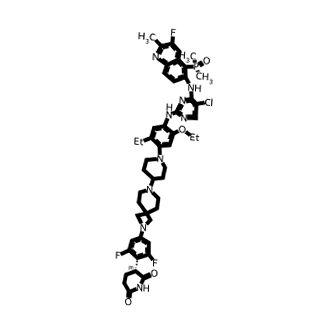 CCOc1cc(N2CCC(N3CCC4(CC3)CN(c3cc(F)c([C@H]5CCC(=O)NC5=O)c(F)c3)C4)CC2)c(CC)cc1Nc1ncc(Cl)c(Nc2ccc3nc(C)c(F)cc3c2P(C)(C)=O)n1